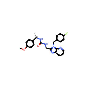 COc1ccc([C@H](C)NC(=O)NCc2nc3cccnc3n2Cc2ccc(F)cc2)cc1